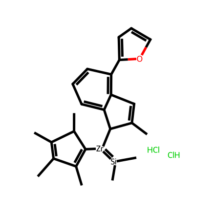 CC1=Cc2c(-c3ccco3)cccc2[CH]1[Zr]([C]1=C(C)C(C)=C(C)C1C)=[Si](C)C.Cl.Cl